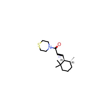 C[C@@H]1CCCC(C)(C)[C@H]1/C=C/C(=O)N1CCSCC1